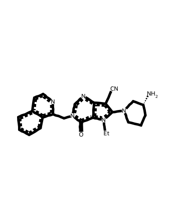 CCn1c(N2CCC[C@@H](N)C2)c(C#N)c2ncn(Cc3nccc4ccccc34)c(=O)c21